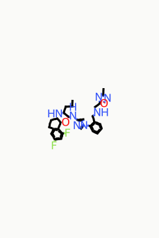 CCCC(N[C@H]1CCc2cc(F)cc(F)c2C1)C(=O)Nc1cn(-c2ccccc2CNCc2nc(C)no2)cn1